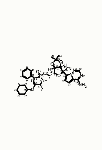 C[C@H](NP(=O)(OC[C@H]1O[C@@](C#N)(c2ccc3c(N)ncnn23)[C@@H]2OC(C)(C)O[C@@H]21)Oc1ccccc1)C(=O)OC1CCCCC1